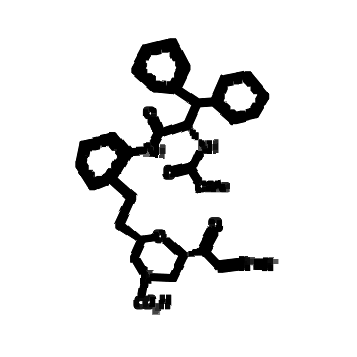 COC(=O)N[C@H](C(=O)Nc1ccccc1CC[C@@H]1CN(C(=O)O)C[C@@H](C(=O)C=[N+]=[N-])O1)C(c1ccccc1)c1ccccc1